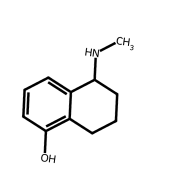 CNC1CCCc2c(O)cccc21